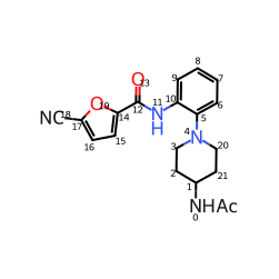 CC(=O)NC1CCN(c2ccccc2NC(=O)c2ccc(C#N)o2)CC1